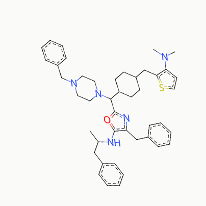 CC(Cc1ccccc1)Nc1oc(C(C2CCC(Cc3sccc3N(C)C)CC2)N2CCN(Cc3ccccc3)CC2)nc1Cc1ccccc1